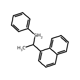 CC([SiH2]c1ccccc1)c1cccc2ccccc12